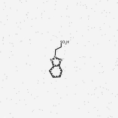 O=S(=O)(O)CCn1nc2ccccc2n1